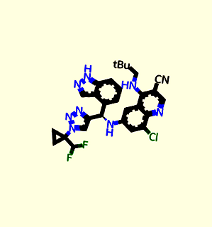 CC(C)(C)CNc1c(C#N)cnc2c(Cl)cc(N[C@H](c3cn(C4(C(F)F)CC4)nn3)c3cccc4[nH]ncc34)cc12